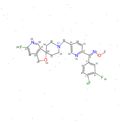 CO/N=C(\c1ccc(F)c(F)c1)c1ccc(CN2CCC3(CC2)OCc2cc(F)ncc23)cn1